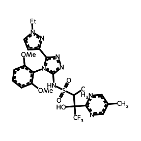 CCn1ccc(-c2nnc(NS(=O)(=O)C(C)C(O)(c3ncc(C)cn3)C(F)(F)F)n2-c2c(OC)cccc2OC)n1